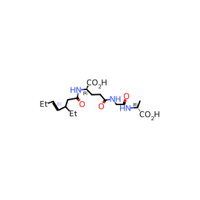 CC/C=C/C(CC)CC(=O)N[C@H](CCC(=O)NCC(=O)N[C@H](C)C(=O)O)C(=O)O